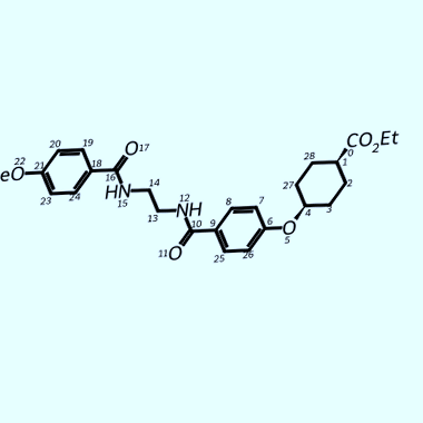 CCOC(=O)[C@H]1CC[C@@H](Oc2ccc(C(=O)NCCNC(=O)c3ccc(OC)cc3)cc2)CC1